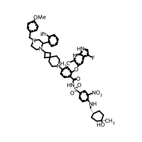 COc1ccc(CN2CCN(C3CC4(CCN(c5ccc(C(=O)NS(=O)(=O)c6ccc(NC[C@H]7CC[C@](C)(O)CC7)c([N+](=O)[O-])c6)c(Oc6cc7c(F)c[nH]c7nc6C)c5)CC4)C3)C(c3ccccc3C(C)C)C2)cc1